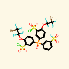 O=P(c1cccc(S(=O)(=O)F)c1)(c1ccc(OC(F)(F)C(F)(F)Br)c(S(=O)(=O)Cl)c1)c1ccc(OC(F)(F)C(F)(F)Br)c(S(=O)(=O)Cl)c1